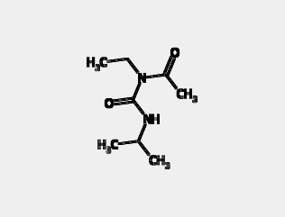 CCN(C(C)=O)C(=O)NC(C)C